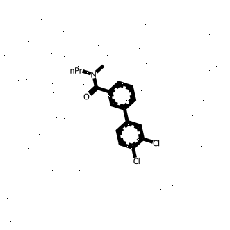 CCCN(C)C(=O)c1cccc(-c2ccc(Cl)c(Cl)c2)c1